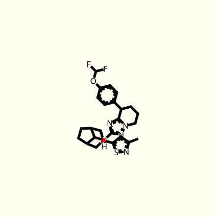 Cc1cc(N2CC3CCC(C2)C3Nc2nc3n(n2)CCCC3c2ccc(OC(F)F)cc2)sn1